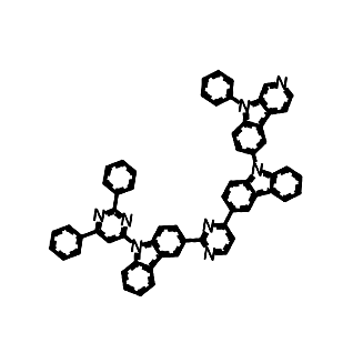 c1ccc(-c2cc(-n3c4ccccc4c4cc(-c5nccc(-c6ccc7c(c6)c6ccccc6n7-c6ccc7c(c6)c6ccncc6n7-c6ccccc6)n5)ccc43)nc(-c3ccccc3)n2)cc1